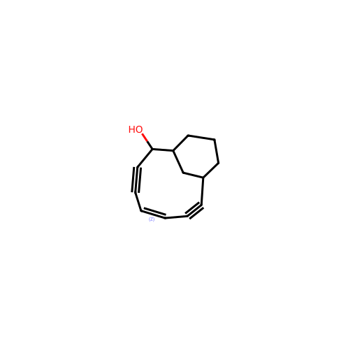 OC1C#C/C=C\C#CC2CCCC1C2